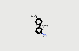 CO[C@H]1CC[C@](OC)(c2cccc(N)c2)CC1